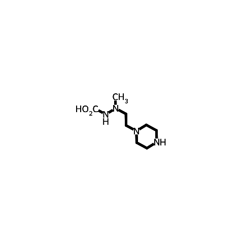 CN(CCN1CCNCC1)NC(=O)O